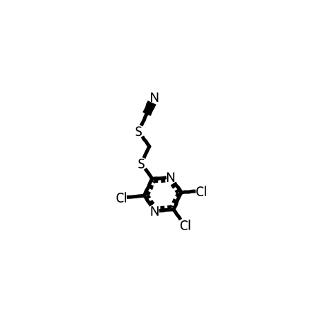 N#CSCSc1nc(Cl)c(Cl)nc1Cl